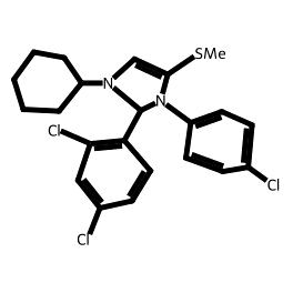 CSC1=CN(C2CCCCC2)C(c2ccc(Cl)cc2Cl)N1c1ccc(Cl)cc1